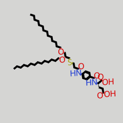 CCCCCCCCCCCCCCOCC(CSCCC(=O)Nc1ccc(C(=O)N[C@@H](CCC(=O)O)C(=O)O)cc1)OCCCCCCCCCCCCCC